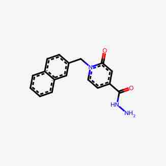 NNC(=O)c1ccn(Cc2ccc3ccccc3c2)c(=O)c1